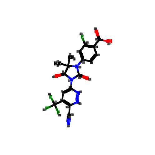 CC1(C)C(=O)N(c2cc(C(F)(F)F)c(C#N)nn2)C(=O)N1c1ccc(C(=O)O)c(F)c1